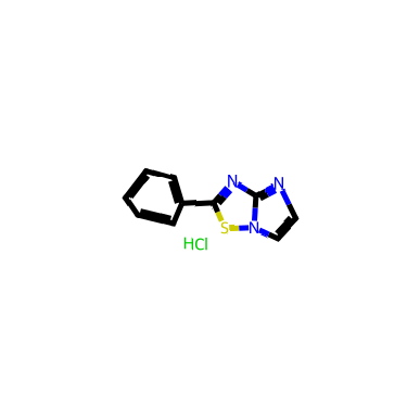 Cl.c1ccc(-c2nc3nccn3s2)cc1